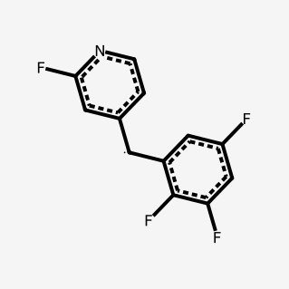 Fc1cc(F)c(F)c([CH]c2ccnc(F)c2)c1